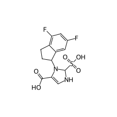 O=C(O)C1=CNC(S(=O)(=O)O)N1C1CCc2c(F)cc(F)cc21